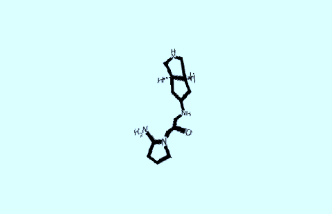 NC1CCCN1C(=O)CNC1C[C@H]2CNC[C@H]2C1